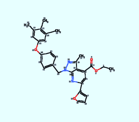 CCOC(=O)c1cc(-c2ccco2)nc2c1c(C)nn2Cc1ccc(Oc2cc(C)c(C)c(C)c2)cc1